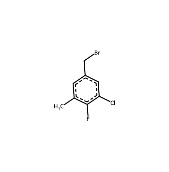 Cc1cc(CBr)cc(Cl)c1F